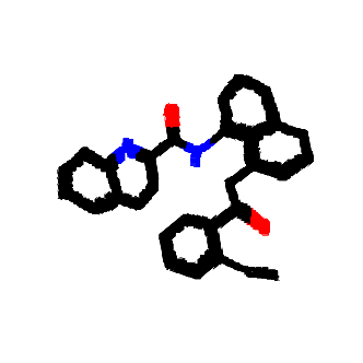 COc1ccccc1C(=O)Cc1cccc2cccc(NC(=O)c3ccc4ccccc4n3)c12